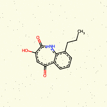 CCCc1cccc2c(=O)cc(O)c(=O)[nH]c12